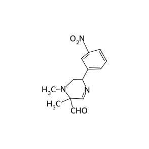 CN1CC(c2cccc([N+](=O)[O-])c2)N=CC1(C)C=O